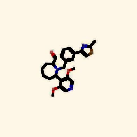 COc1cncc(OC)c1C1CCCCC(C=O)N1Cc1cccc(-c2csc(C)n2)c1